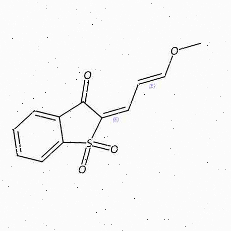 CO/C=C/C=C1\C(=O)c2ccccc2S1(=O)=O